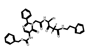 CC(C)C(NC(=O)Cn1c(-c2ccccc2)ncc(NC(=O)OCc2ccccc2)c1=O)C(=O)C(F)(F)C(=O)NCCc1ccccc1